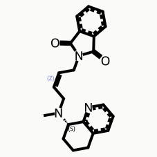 CN(C/C=C\CN1C(=O)c2ccccc2C1=O)[C@H]1CCCc2cccnc21